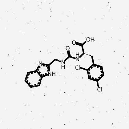 O=C(NCc1nc2ccccc2[nH]1)N[C@@H](Cc1ccc(Cl)cc1Cl)C(=O)O